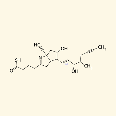 C#CC12CC(O)C(/C=C/C(O)C(C)CC#CC)C1CC(CCCC(=O)S)=N2